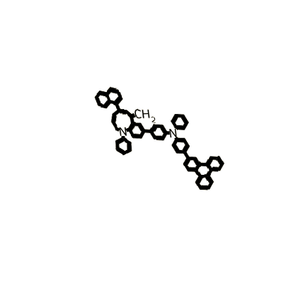 C=C1/C=C(c2cccc3ccccc23)\C=C/CN(c2ccccc2)c2ccc(-c3ccc(N(c4ccccc4)c4ccc(-c5ccc6c7ccccc7c7ccccc7c6c5)cc4)cc3)cc21